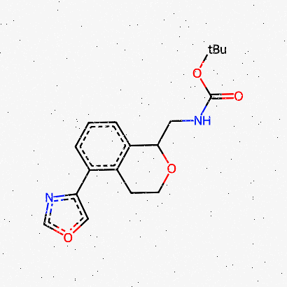 CC(C)(C)OC(=O)NCC1OCCc2c(-c3cocn3)cccc21